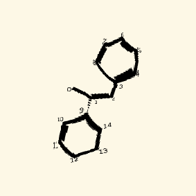 C/C(=C\c1ccccc1)[C@H]1C=CCCC1